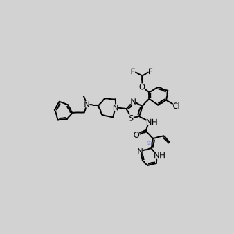 C=C/C(C(=O)Nc1sc(N2CCC(N(C)Cc3ccccc3)CC2)nc1-c1cc(Cl)ccc1OC(F)F)=C1/N=CC=CN1